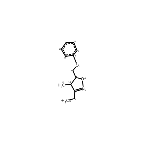 [CH2]CC1=NOC(COc2ccccc2)C1C